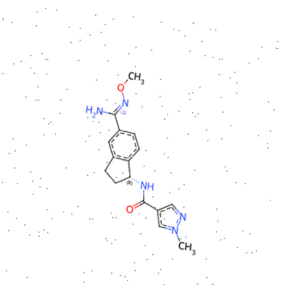 CO/N=C(\N)c1ccc2c(c1)CC[C@H]2NC(=O)c1cnn(C)c1